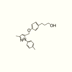 Cc1ccc(-n2nc(C)cc2COc2ccc(CCCO)cc2)cc1